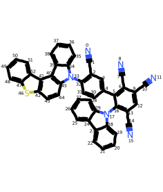 N#Cc1cc(-c2c(C#N)c(C#N)cc(C#N)c2-n2c3ccccc3c3ccccc32)ccc1-n1c2ccccc2c2c3c(ccc21)sc1ccccc13